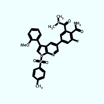 COc1ccccc1-c1cn(S(=O)(=O)c2ccc(C)cc2)c2ncc(-c3cc(F)c(C(N)=O)c(C(=O)N(C)C)c3)cc12